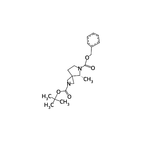 C[C@H]1N(C(=O)OCc2ccccc2)CCC12CN(C(=O)OC(C)(C)C)C2